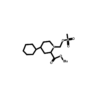 CC(C)(C)OC(=O)C1CC(C2CCCCC2)CCN1COS(C)(=O)=O